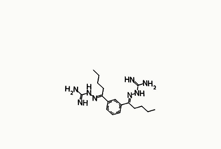 CCCCC(=NNC(=N)N)c1cccc(C(CCCC)=NNC(=N)N)c1